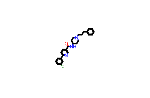 O=C(NC1CCN(CCCc2ccccc2)CC1)c1ccc(-c2cccc(F)c2)nc1